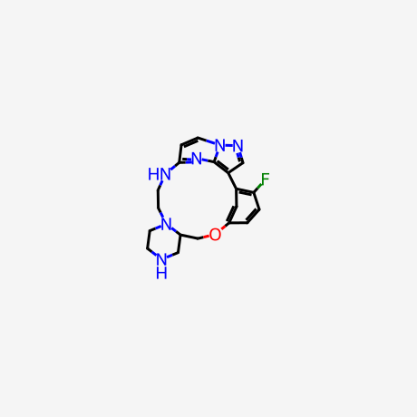 Fc1ccc2cc1-c1cnn3ccc(nc13)NCCN1CCNCC1CO2